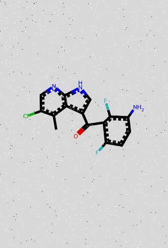 Cc1c(Cl)cnc2[nH]cc(C(=O)c3c(F)ccc(N)c3F)c12